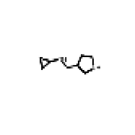 C1CC(CNC2CC2)CN1